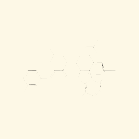 CC(=O)O[C@@]12CCC(N(CC(C)C)C(=O)C=Cc3cccc(C)c3)C3Oc4c(O)ccc5c4[C@@]31CCN(C)[C@@H]2C5